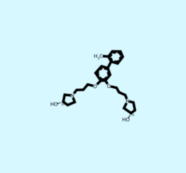 Cc1ccccc1-c1ccc(OCCCN2CC[C@H](O)C2)c(OCCCN2CC[C@H](O)C2)c1